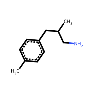 Cc1ccc(CC(C)CN)cc1